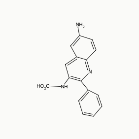 Nc1ccc2nc(-c3ccccc3)c(NC(=O)O)cc2c1